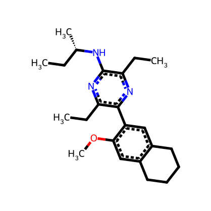 CCc1nc(-c2cc3c(cc2OC)CCCC3)c(CC)nc1N[C@@H](C)CC